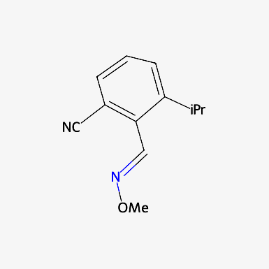 CON=Cc1c(C#N)cccc1C(C)C